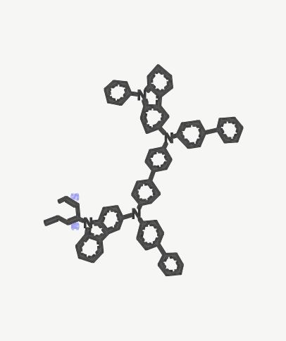 C=C/C=C(\C=C/C)n1c2ccccc2c2cc(N(c3ccc(-c4ccccc4)cc3)c3ccc(-c4ccc(N(c5ccc(-c6ccccc6)cc5)c5ccc6c(c5)c5ccccc5n6-c5ccccc5)cc4)cc3)ccc21